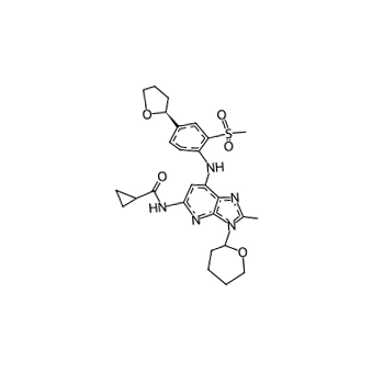 Cc1nc2c(Nc3ccc([C@@H]4CCCO4)cc3S(C)(=O)=O)cc(NC(=O)C3CC3)nc2n1C1CCCCO1